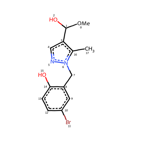 COC(O)c1cnn(Cc2cc(Br)ccc2O)c1C